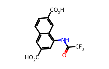 O=C(O)c1cc(NC(=O)C(F)(F)F)c2cc(C(=O)O)ccc2c1